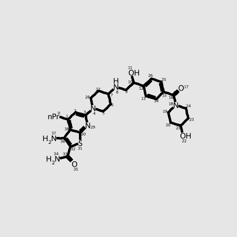 CCCc1cc(N2CCC(NCC(O)c3ccc(C(=O)N4CCC(O)CC4)cc3)CC2)nc2sc(C(N)=O)c(N)c12